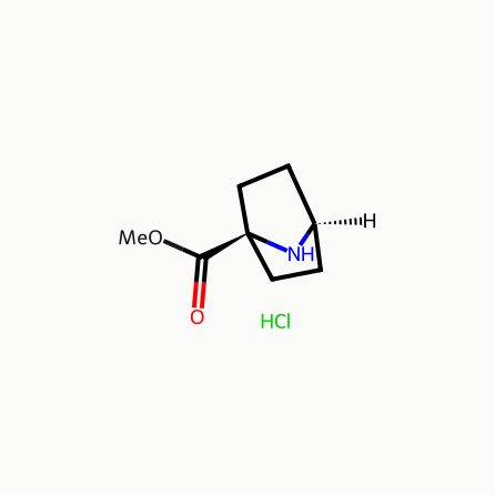 COC(=O)[C@]12CC[C@@H](CC1)N2.Cl